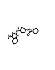 CN(C)c1nc(NC2CCC(NC(=O)C3CCCCC3)CC2)nc2c1CCCC2